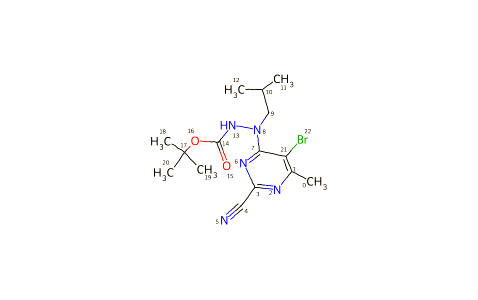 Cc1nc(C#N)nc(N(CC(C)C)NC(=O)OC(C)(C)C)c1Br